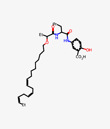 CC/C=C\C/C=C\C/C=C\CCCCCCCCOC(CC)C(=O)NC(CC(C)C)C(=O)Nc1ccc(O)c(C(=O)O)c1